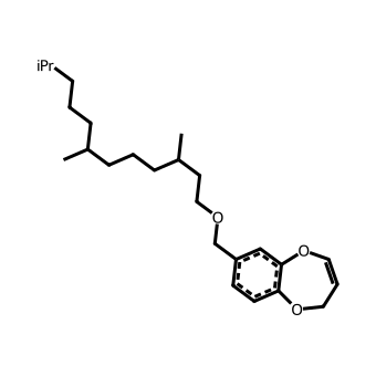 CC(C)CCCC(C)CCCC(C)CCOCc1ccc2c(c1)OC=CCO2